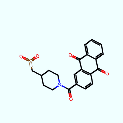 O=C1c2ccccc2C(=O)c2cc(C(=O)N3CCC(C[SH](=O)=O)CC3)ccc21